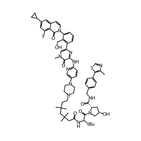 Cc1ncsc1-c1ccc(CNC(=O)[C@@H]2C[C@@H](O)CN2C(=O)C(NC(=O)CC(C)(C)CC(C)(C)CCN2CCN(c3ccc(Nc4nc(-c5cccc(-n6ccc7cc(C8CC8)cc(F)c7c6=O)c5CO)cn(C)c4=O)nc3)CC2)C(C)(C)C)cc1